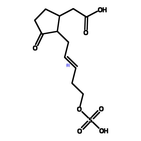 O=C(O)CC1CCC(=O)C1C/C=C/CCOS(=O)(=O)O